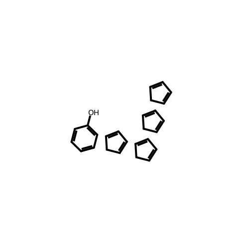 C1=CCC=C1.C1=CCC=C1.C1=CCC=C1.C1=CCC=C1.Oc1ccccc1